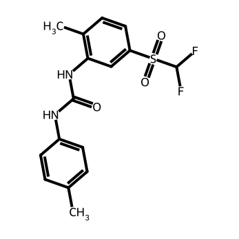 Cc1ccc(NC(=O)Nc2cc(S(=O)(=O)C(F)F)ccc2C)cc1